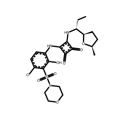 CC[C@@H](Nc1c(Nc2ccc(Cl)c(S(=O)(=O)N3CCOCC3)c2O)c(=O)c1=O)[C@H]1CC[C@@H](C)O1